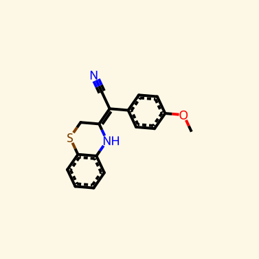 COc1ccc(/C(C#N)=C2/CSc3ccccc3N2)cc1